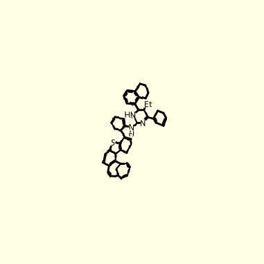 CCC1C(C2=CC=CCC2)=NC(NC2=CCCCC2C2=CCCC3=C2SC2C=CC4=C(C5C=CC=CC(C=C4)C5)C32)NC1c1cccc2c1CCCC2